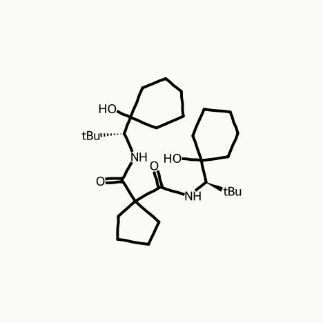 CC(C)(C)[C@@H](NC(=O)C1(C(=O)N[C@H](C(C)(C)C)C2(O)CCCCC2)CCCC1)C1(O)CCCCC1